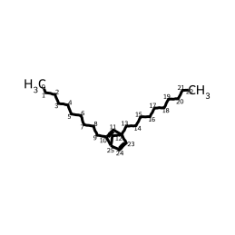 CCCCCCCCCCC1=CC2(CCCCCCCCCC)C=CC1C2